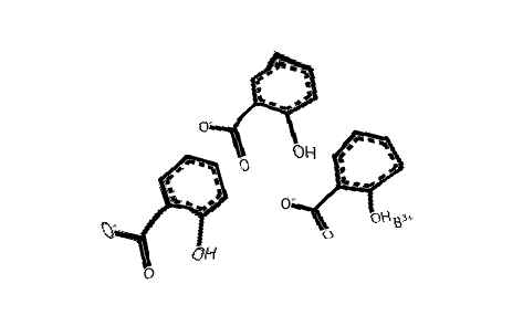 O=C([O-])c1ccccc1O.O=C([O-])c1ccccc1O.O=C([O-])c1ccccc1O.[B+3]